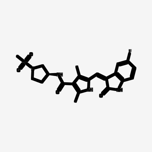 Cc1[nH]c(/C=C2\C(=O)Nc3ccc(F)cc32)c(C)c1C(=O)N[C@H]1CCN(S(C)(=O)=O)C1